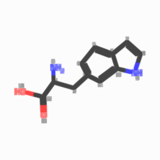 NC(Cc1ccc2cc[nH]c2c1)C(=O)O